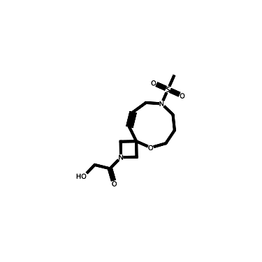 CS(=O)(=O)N1CC#CC2(CN(C(=O)CO)C2)OCCC1